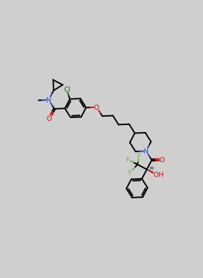 CN(C(=O)c1ccc(OCCCCC2CCN(C(=O)[C@](O)(c3ccccc3)C(F)(F)F)CC2)cc1Cl)C1CC1